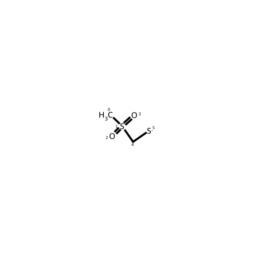 CS(=O)(=O)C[S]